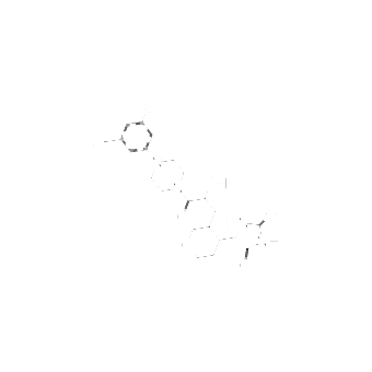 CC(CC1COCCC1C1NC(=O)NC1=O)C(=O)N1CCN(c2cc(Cl)cc(Cl)c2)CC1